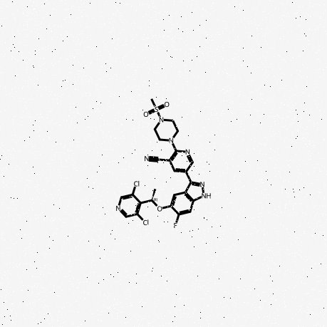 C[C@@H](Oc1cc2c(-c3cnc(N4CCN(S(C)(=O)=O)CC4)c(C#N)c3)n[nH]c2cc1F)c1c(Cl)cncc1Cl